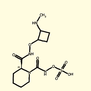 CNC1CCC1ONC(=O)[C@@H]1CCCCN1C(=O)NOS(=O)(=O)O